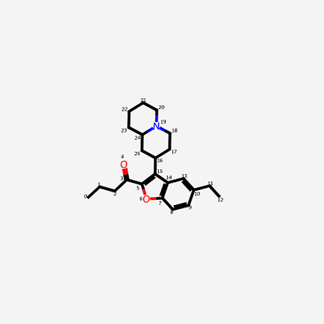 CCCC(=O)c1oc2ccc(CC)cc2c1C1CCN2CCCCC2C1